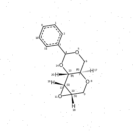 c1ccc(C2OC[C@H]3OC[C@@H]4O[C@@H]4[C@@H]3O2)cc1